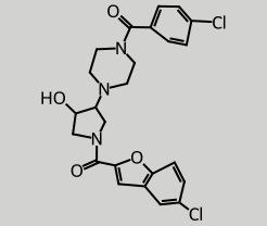 O=C(c1ccc(Cl)cc1)N1CCN(C2CN(C(=O)c3cc4cc(Cl)ccc4o3)CC2O)CC1